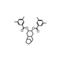 Cc1cc(C)cc(C(=O)OC2CC3CC4CCC(C4)C3CC2OC(=O)c2cc(C)cc(C)c2)c1